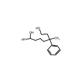 CCCC(O)CCCC(C)(CCO)c1ccccc1